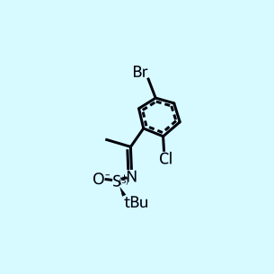 CC(=N[S@+]([O-])C(C)(C)C)c1cc(Br)ccc1Cl